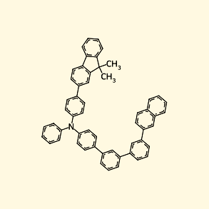 CC1(C)c2ccccc2-c2ccc(-c3ccc(N(c4ccccc4)c4ccc(-c5cccc(-c6cccc(-c7ccc8ccccc8c7)c6)c5)cc4)cc3)cc21